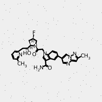 Cc1cccc(C[C@@H](O)[C@H]2C[C@@H](F)CN2C(=O)Cn2cc(C(N)=O)c3cc(-c4cnc5cc(C)nn5c4)ccc32)n1